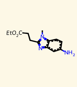 CCOC(=O)CCc1nc2cc(N)ccc2n1C